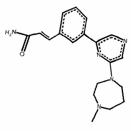 CN1CCCN(c2cncc(-c3cccc(/C=C/C(N)=O)c3)n2)CC1